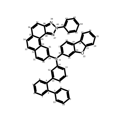 c1ccc(-c2ccccc2-c2cccc(N(c3ccc4c(c3)oc3ccccc34)c3ccc4ccc5ccc6nn(-c7ccccc7)nc6c5c4c3)c2)cc1